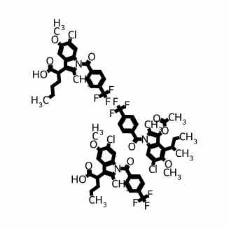 CCC(C)c1c(OC)c(Cl)cc2c1c(OC(C)=O)c(C)n2C(=O)c1ccc(C(F)(F)F)cc1.CCCC(C(=O)O)c1c(C)n(C(=O)c2ccc(C(F)(F)F)cc2)c2cc(Cl)c(OC)cc12.CCCCC(C(=O)O)c1c(C)n(C(=O)c2ccc(C(F)(F)F)cc2)c2cc(Cl)c(OC)cc12